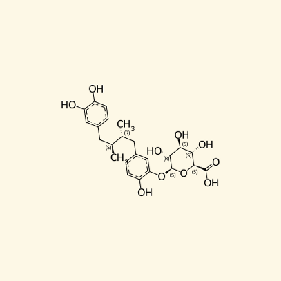 C[C@H](Cc1ccc(O)c(O[C@@H]2O[C@H](C(=O)O)[C@@H](O)[C@H](O)[C@H]2O)c1)[C@@H](C)Cc1ccc(O)c(O)c1